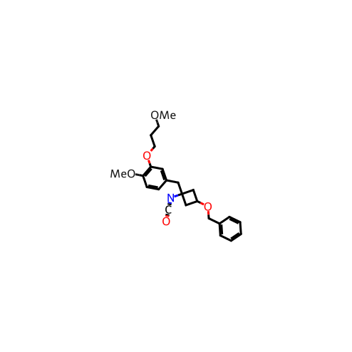 COCCCOc1cc(CC2(N=C=O)CC(OCc3ccccc3)C2)ccc1OC